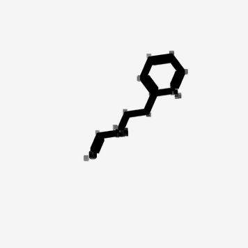 O=CNCCc1ccccn1